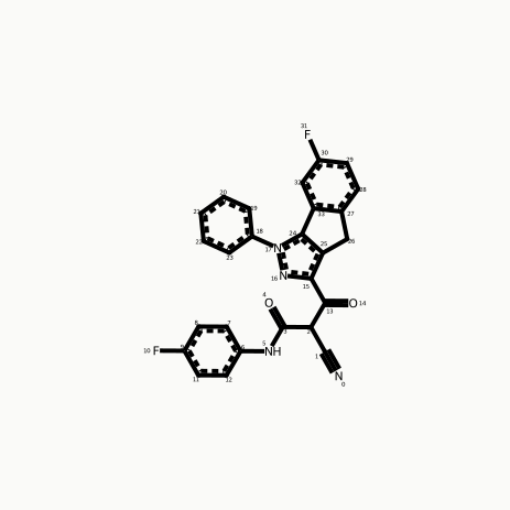 N#CC(C(=O)Nc1ccc(F)cc1)C(=O)c1nn(-c2ccccc2)c2c1Cc1ccc(F)cc1-2